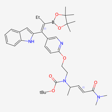 CC/C(B1OC(C)(C)C(C)(C)O1)=C(/c1ccc(OCCN(C(=O)OC(C)(C)C)C(C)/C=C/C(=O)N(C)C)nc1)c1cc2ccccc2[nH]1